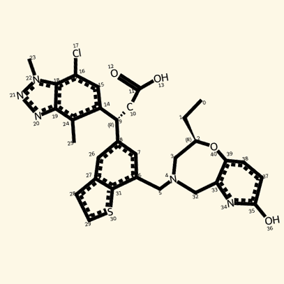 CC[C@@H]1CN(Cc2cc([C@@H](CC(=O)O)c3cc(Cl)c4c(nnn4C)c3C)cc3ccsc23)Cc2nc(O)ccc2O1